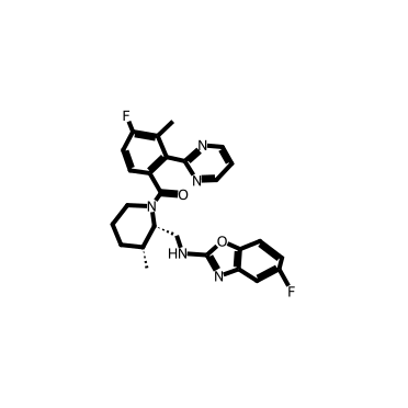 Cc1c(F)ccc(C(=O)N2CCC[C@@H](C)[C@H]2CNc2nc3cc(F)ccc3o2)c1-c1ncccn1